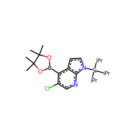 CC(C)[Si](C(C)C)(C(C)C)n1ccc2c(B3OC(C)(C)C(C)(C)O3)c(Cl)cnc21